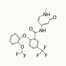 CN/C=C\C(=C/C=O)NC(=O)c1cc(C(F)(F)F)ccc1Oc1ccccc1OC(F)F